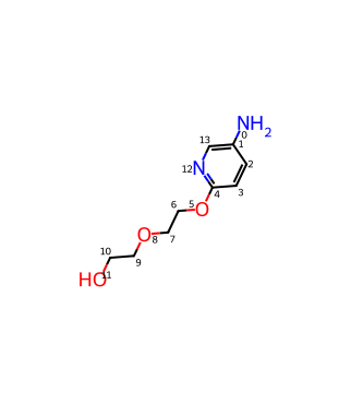 Nc1ccc(OCCOCCO)nc1